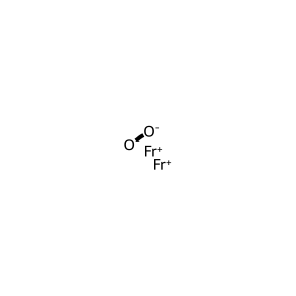 [Fr+].[Fr+].[O-][O-]